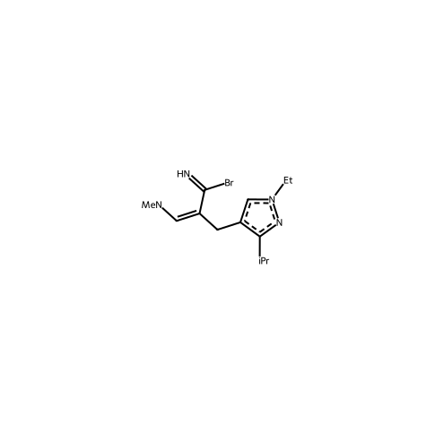 CCn1cc(C/C(=C/NC)C(=N)Br)c(C(C)C)n1